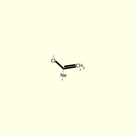 C=CCl.[Ne]